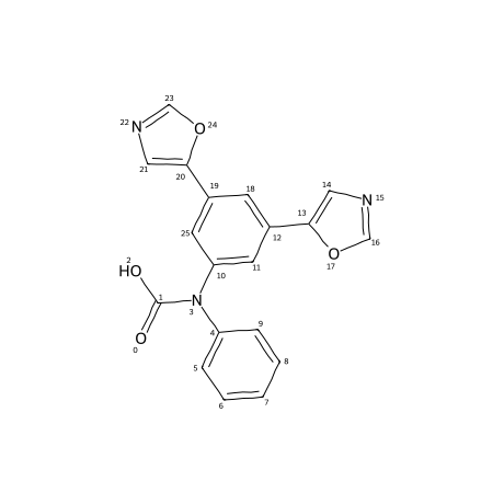 O=C(O)N(c1ccccc1)c1cc(-c2cnco2)cc(-c2cnco2)c1